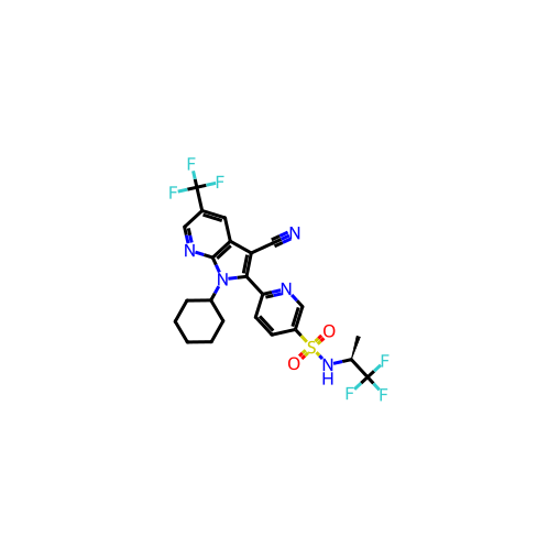 C[C@H](NS(=O)(=O)c1ccc(-c2c(C#N)c3cc(C(F)(F)F)cnc3n2C2CCCCC2)nc1)C(F)(F)F